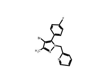 Cc1nn(Cc2ccccn2)c(-c2ccc(F)cc2)c1Br